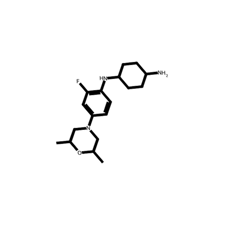 CC1CN(c2ccc(NC3CCC(N)CC3)c(F)c2)CC(C)O1